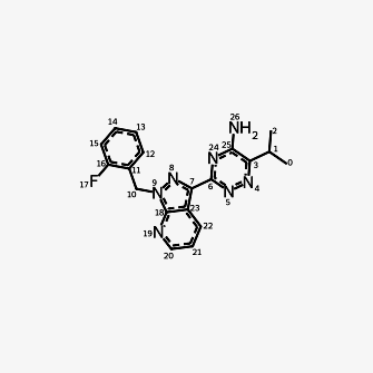 CC(C)c1nnc(-c2nn(Cc3ccccc3F)c3ncccc23)nc1N